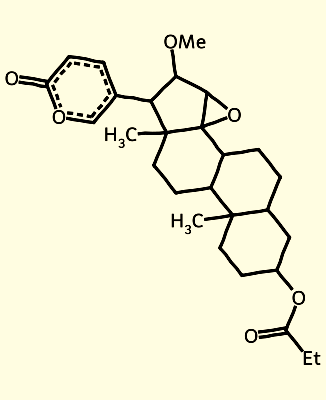 CCC(=O)OC1CCC2(C)C(CCC3C2CCC2(C)C(c4ccc(=O)oc4)C(OC)C4OC342)C1